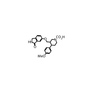 COc1ccc(C2CCN(C(=O)O)CC2COc2ccc3c(c2)C(=O)NC3)cc1